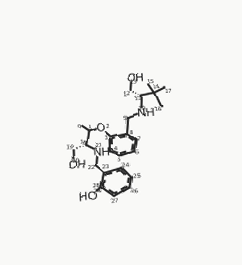 CC(Oc1ccccc1CN[C@H](CO)C(C)(C)C)[C@@H](CO)NCc1ccccc1O